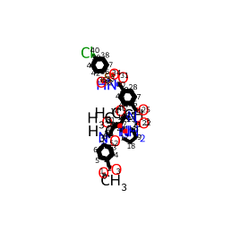 COC(=O)c1ccc2nc(C(=O)[C@H](C(C)C)N3CCC[C@H]3C(=O)N(C(=O)c3ccc(C(=O)NS(=O)(=O)c4ccc(Cl)cc4)cc3)C(=O)[C@@H](N)C(C)C)oc2c1